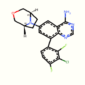 Nc1ncnc2c(-c3ccc(F)c(Cl)c3F)cc(N3[C@@H]4CC[C@@H]3COC4)cc12